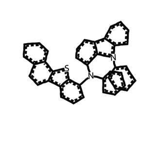 c1ccc(N(c2cccc3c2sc2c4ccccc4ccc32)c2cccc3c4ccccc4n(-c4ccccc4)c23)cc1